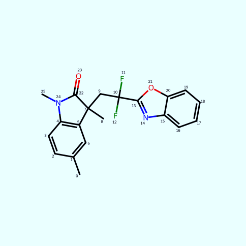 Cc1ccc2c(c1)C(C)(CC(F)(F)c1nc3ccccc3o1)C(=O)N2C